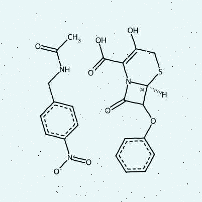 CC(=O)NCc1ccc([N+](=O)[O-])cc1.O=C(O)C1=C(O)CS[C@H]2C(Oc3ccccc3)C(=O)N12